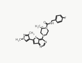 Cc1nn(C)cc1-c1cc2ncnc(N3CCN(C(=O)NCc4ccc(F)cc4)[C@H](C)C3)c2s1